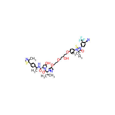 Cc1ncsc1-c1ccc([C@H](C)NC(=O)[C@@H]2C[C@@H](O)CN2C(=O)[C@@H](C(C)C)n2cc(OCCCOCCC(O)CCOc3ccc(N4C(=S)N(c5ccc(C#N)c(C(F)(F)F)c5)C(=O)C4(C)C)cc3)cn2)cc1